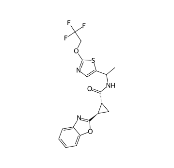 CC(NC(=O)[C@@H]1C[C@H]1c1nc2ccccc2o1)c1cnc(OCC(F)(F)F)s1